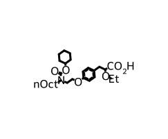 CCCCCCCCN(CCOc1ccc(CC(OCC)C(=O)O)cc1)C(=O)OC1CCCCC1